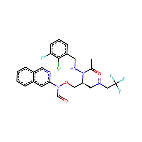 CC(=O)N(NCc1cccc(F)c1Cl)[C@@H](CNCC(F)(F)F)CON(C=O)c1cc2ccccc2cn1